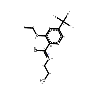 CCSc1cc(C(F)(F)F)cnc1/C(Cl)=N/CCO